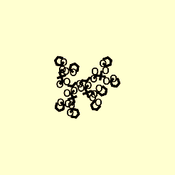 CC(COC1CCCCO1)(COC1CCCCO1)C(=O)OCC(COCC(COC(=O)C(C)(COC1CCCCO1)COC1CCCCO1)OC(=O)C(C)(COC1CCCCO1)COC1CCCCO1)OC(=O)C(C)(COC1CCCCO1)COC1CCCCO1